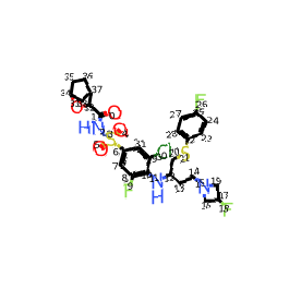 O=C(NS(=O)(=O)c1cc(F)c(N[C@H](CCN2CC(F)C2)CSc2ccc(F)cc2)c(Cl)c1)C1OC2CCC1C2